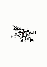 Cc1ccc(-c2ccc(N3C(=O)C(O)=C(COC(C)C)C3c3ccccc3C(=O)N(C)CCO)cc2)o1